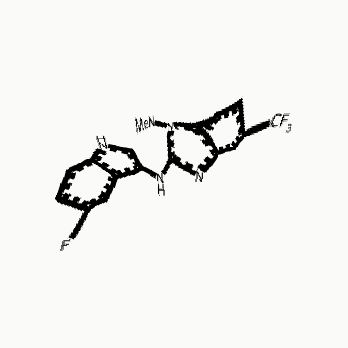 CNn1c(Nc2c[nH]c3ccc(F)cc23)nc2cc(C(F)(F)F)ccc21